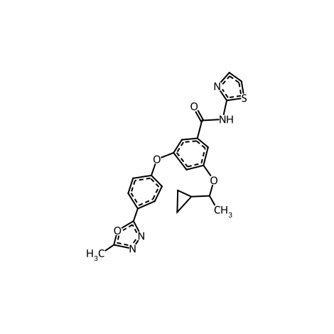 Cc1nnc(-c2ccc(Oc3cc(OC(C)C4CC4)cc(C(=O)Nc4nccs4)c3)cc2)o1